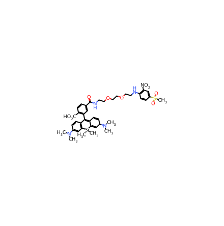 CN(C)c1ccc2c(c1)[Si](C)(C)C1=CC(N(C)C)C=CC1=C2c1cc(C(=O)NCCOCCOCCNc2ccc(S(C)(=O)=O)cc2[N+](=O)[O-])ccc1C(=O)O